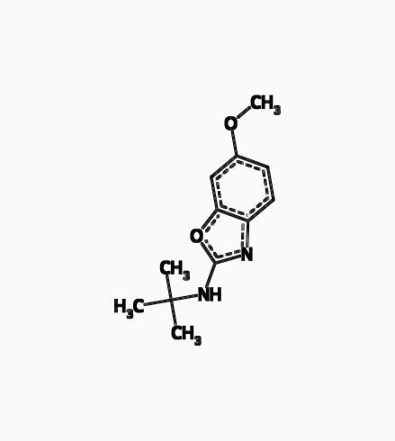 COc1ccc2nc(NC(C)(C)C)oc2c1